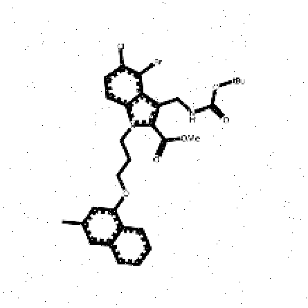 COC(=O)c1c(CNC(=O)OC(C)(C)C)c2c(Br)c(Cl)ccc2n1CCCOc1cc(C)cc2ccccc12